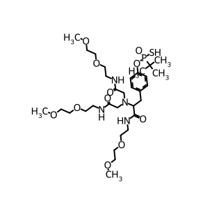 COCCOCCNC(=O)CN(CC(=O)NCCOCCOC)C(Cc1ccc(OP(=O)(S)C(C)(C)C)cc1)C(=O)NCCOCCOC